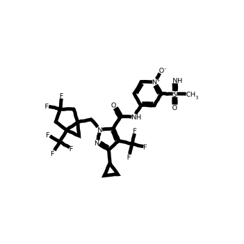 CS(=N)(=O)c1cc(NC(=O)c2c(C(F)(F)F)c(C3CC3)nn2CC23CC(F)(F)CC2(C(F)(F)F)C3)cc[n+]1[O-]